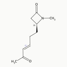 CC(=O)/C=C/CC[C@H]1CC(=O)N1C